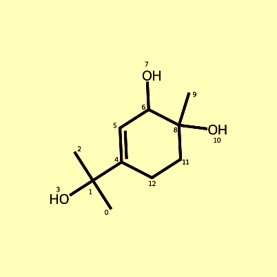 CC(C)(O)C1=CC(O)C(C)(O)CC1